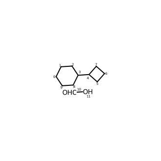 C1CCC(C2CCC2)CC1.O=CO